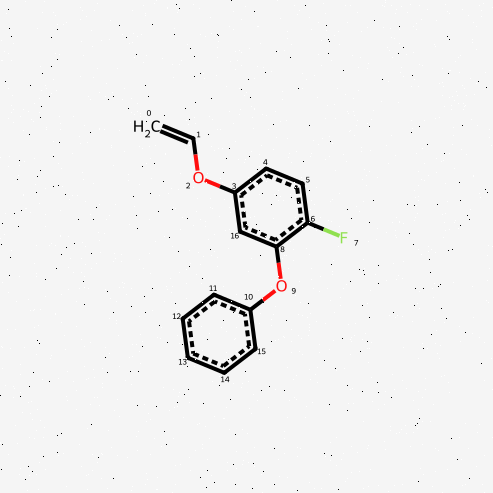 C=COc1ccc(F)c(Oc2ccccc2)c1